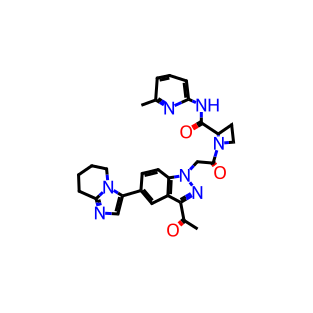 CC(=O)c1nn(CC(=O)N2CCC2C(=O)Nc2cccc(C)n2)c2ccc(-c3cnc4n3CCCC4)cc12